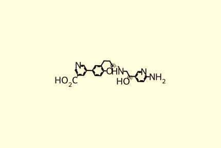 Nc1ccc([C@H](O)CNC[C@H]2CCc3cc(-c4cncc(C(=O)O)c4)ccc3O2)cn1